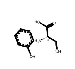 N[C@@H](CO)C(=O)O.Oc1cccnc1